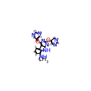 CNc1cccc2c1[nH]c1nc(Oc3cncnc3)nc(Oc3cncnc3)c12